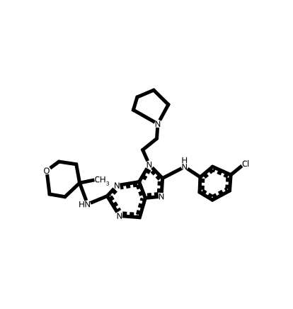 CC1(Nc2ncc3nc(Nc4cccc(Cl)c4)n(CCN4CCCC4)c3n2)CCOCC1